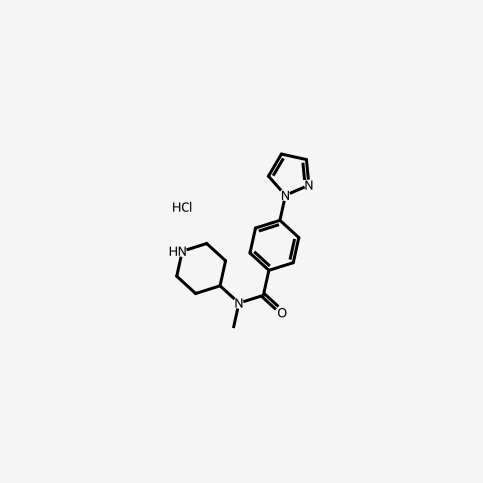 CN(C(=O)c1ccc(-n2cccn2)cc1)C1CCNCC1.Cl